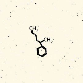 [CH2]C(CCC=C)c1ccccc1